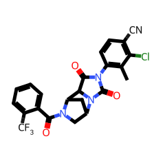 Cc1c(N2C(=O)C3C4CC(CN4C(=O)c4ccccc4C(F)(F)F)N3C2=O)ccc(C#N)c1Cl